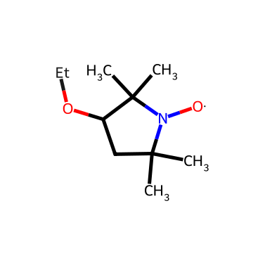 CCOC1CC(C)(C)N([O])C1(C)C